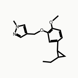 CCC1CC1c1ccc(OC)c(OCc2cnn(C)c2)c1